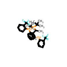 CC(P(C(C)(C)C)C(C)(C)C)[C]12[C]3(Pc4ccccc4C(F)(F)F)[CH]4[CH]5[C@@]1(Pc1ccccc1C(F)(F)F)[Fe]45321678[CH]2[CH]1[CH]6[CH]7[CH]28